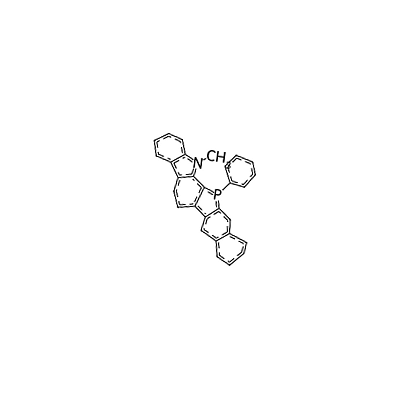 Cn1c2ccccc2c2ccc3c4cc5ccccc5cc4p(-c4ccccc4)c3c21